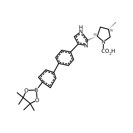 C[C@H]1C[C@@H](c2nc(-c3ccc(-c4ccc(B5OC(C)(C)C(C)(C)O5)cc4)cc3)c[nH]2)N(C(=O)O)C1